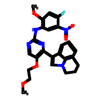 COCCOc1cnc(Nc2cc([N+](=O)[O-])c(F)cc2OC)nc1-c1cn2c3c(cccc13)CCC2